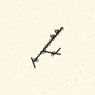 CCCCCCC(CCCC)COC(=O)CCCCCCCOCC(COCCOCCOCCOCCOC(=O)CNCCOC(=O)CNCCOC)OCCCCCCCC(=O)OCC(CCCC)CCCCCC